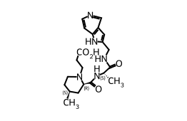 C[C@H]1CCN(CCC(=O)O)[C@@H](C(=O)N[C@@H](C)C(=O)NCc2cc3cnccc3[nH]2)C1